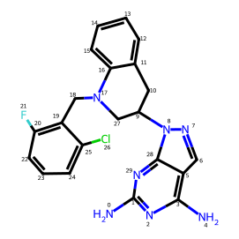 Nc1nc(N)c2cnn(C3Cc4ccccc4N(Cc4c(F)cccc4Cl)C3)c2n1